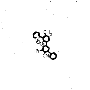 Cc1ccc2c(oc3c(C(C)C)c(C#N)c(-c4ccccc4)cc32)c1-c1cccc[n+]1C